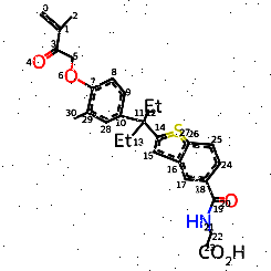 C=C(C)C(=O)COc1ccc(C(CC)(CC)c2cc3cc(C(=O)NCC(=O)O)ccc3s2)cc1C